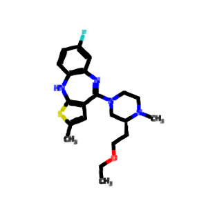 CCOCC[C@H]1CN(C2=Nc3cc(F)ccc3Nc3sc(C)cc32)CCN1C